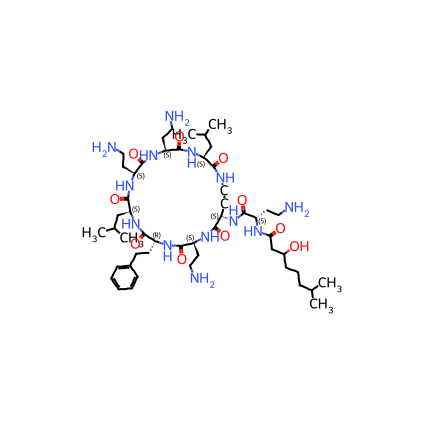 CC(C)CCCC(O)CC(=O)N[C@@H](CCN)C(=O)N[C@H]1CCNC(=O)[C@H](CC(C)C)NC(=O)[C@H](CCN)NC(=O)[C@H](CCN)NC(=O)[C@H](CC(C)C)NC(=O)[C@@H](CCc2ccccc2)NC(=O)[C@H](CCN)NC1=O